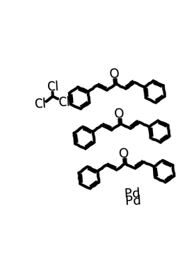 ClC(Cl)Cl.O=C(C=Cc1ccccc1)C=Cc1ccccc1.O=C(C=Cc1ccccc1)C=Cc1ccccc1.O=C(C=Cc1ccccc1)C=Cc1ccccc1.[Pd].[Pd]